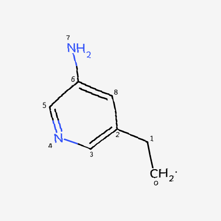 [CH2]Cc1cncc(N)c1